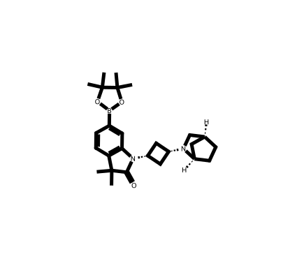 CC1(C)C(=O)N([C@H]2C[C@@H](N3C[C@H]4CC[C@@H]3C4)C2)c2cc(B3OC(C)(C)C(C)(C)O3)ccc21